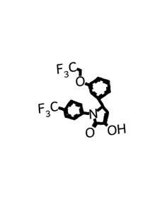 O=C1C(O)=CC(c2cccc(OCC(F)(F)F)c2)N1c1ccc(C(F)(F)F)cc1